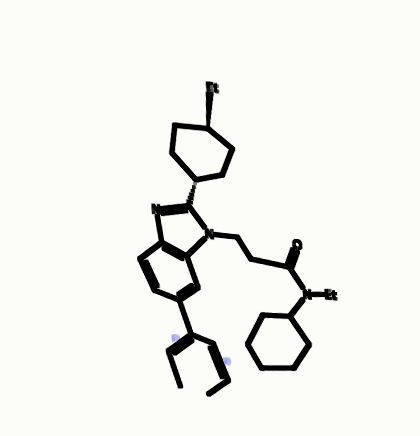 C/C=C\C(=C/C)c1ccc2nc([C@H]3CC[C@H](CC)CC3)n(CCC(=O)N(CC)C3CCCCC3)c2c1